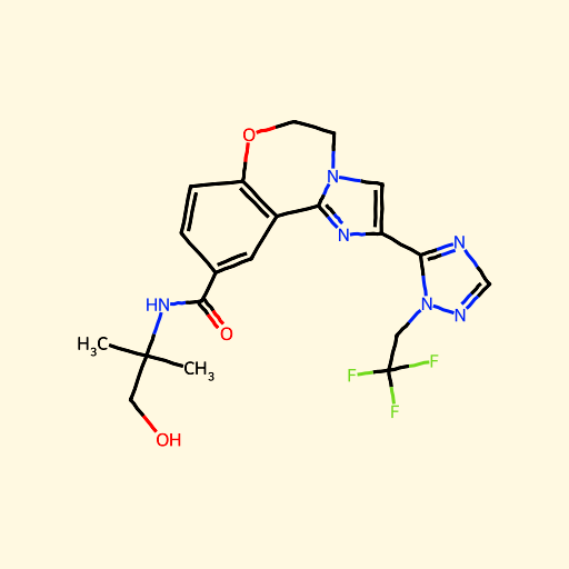 CC(C)(CO)NC(=O)c1ccc2c(c1)-c1nc(-c3ncnn3CC(F)(F)F)cn1CCO2